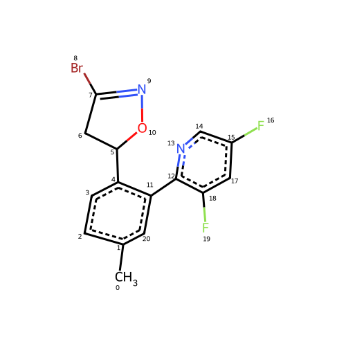 Cc1ccc(C2CC(Br)=NO2)c(-c2ncc(F)cc2F)c1